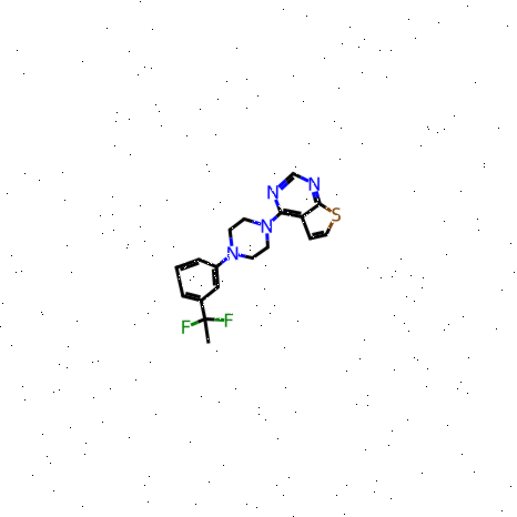 CC(F)(F)c1cccc(N2CCN(c3ncnc4sccc34)CC2)c1